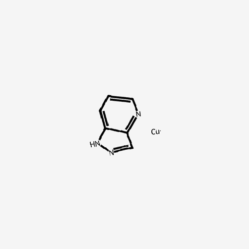 [Cu].c1cnc2cn[nH]c2c1